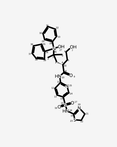 CC(C)(C[C@H](CCO)C(=O)Nc1ccc(S(=O)(=O)NC2=NCCS2)cn1)[Si](O)(c1ccccc1)c1ccccc1